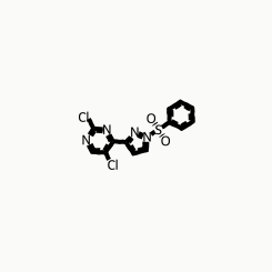 O=S(=O)(c1ccccc1)n1ccc(-c2nc(Cl)ncc2Cl)n1